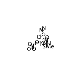 CSc1nc(CCOC2CC(N3C(=O)c4ccccc4C3=O)C2)c2cc(-c3ccc(-c4cncc(C)n4)cc3Cl)c(=O)nc-2[nH]1